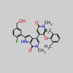 Cc1cccc(C)c1Oc1cn(C)c(=O)cc1-c1cn(C)c(=O)c2[nH]c(-c3cc(CO)ccc3F)cc12